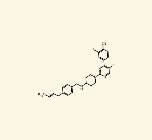 N#Cc1ccc(-c2nc(N3CCC(NCc4ccc(C/C=C/C(=O)O)cc4)CC3)ncc2Cl)cc1F